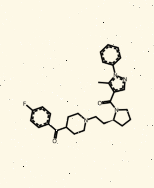 Cc1c(C(=O)N2CCC[C@H]2CCN2CCC(C(=O)c3ccc(F)cc3)CC2)cnn1-c1ccccc1